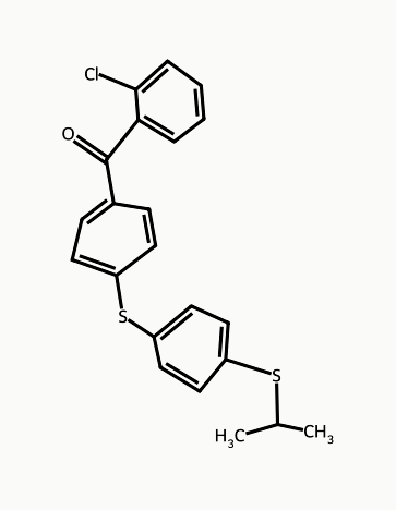 CC(C)Sc1ccc(Sc2ccc(C(=O)c3ccccc3Cl)cc2)cc1